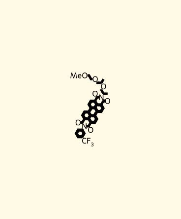 COCCOCC(C)OCC(C)N1C(=O)c2ccc3c4ccc5c6c(ccc(c7ccc(c2c37)C1=O)c64)C(=O)N(c1cccc(C(F)(F)F)c1)C5=O